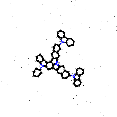 C1=CC2C(CC1)c1ccccc1N2c1ccc2cc3c4c5c6ccccc6n(-c6ccccc6)c5cc5c6cc7ccc(-n8c9ccccc9c9ccccc98)cc7cc6n(c3cc2c1)c54